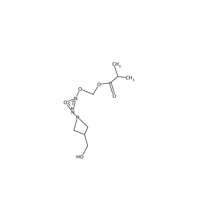 CC(C)C(=O)OCOn1on1N1CC(CO)C1